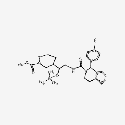 CC(C)(C)OC(=O)N1CCCC(C(CNC(=S)N2CCc3ccccc3[C@@H]2c2ccc(F)cc2)O[Si](C)(C)C)C1